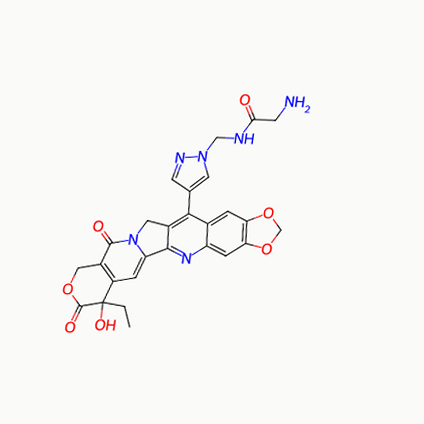 CCC1(O)C(=O)OCc2c1cc1n(c2=O)Cc2c-1nc1cc3c(cc1c2-c1cnn(CNC(=O)CN)c1)OCO3